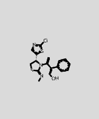 C=C(/C(=C/O)c1ccccc1)N1/C(=N/C)SC[C@@H]1c1cnc(Cl)s1